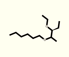 CCCCCCOC(C)[C@H](CC)OCC